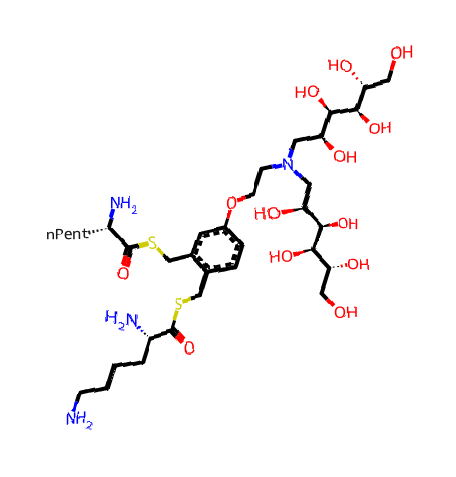 CCCCC[C@H](N)C(=O)SCc1cc(OCCN(C[C@H](O)[C@@H](O)[C@H](O)[C@H](O)CO)C[C@H](O)[C@@H](O)[C@H](O)[C@H](O)CO)ccc1CSC(=O)[C@@H](N)CCCCN